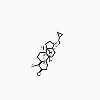 C[C@]12CC[C@H]3[C@@H](CCC4=C(F)C(=O)CC[C@@]43C)[C@@H]1CC[C@@H]2OC1CC1